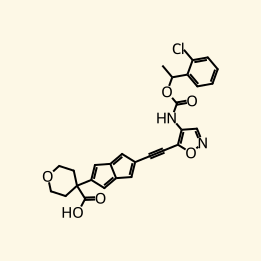 CC(OC(=O)Nc1cnoc1C#CC1=CC2=CC(C3(C(=O)O)CCOCC3)=CC2=C1)c1ccccc1Cl